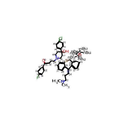 CCC[CH2][Sn]([CH2]CCC)([CH2]CCC)[O][Sn]([CH2]CCC)([CH2]CCC)[CH2]CCC.CN(C)CC/C=C1/c2ccccc2CSc2ccccc21.O=C(CCCN1CCC(O)(c2ccc(Cl)cc2)CC1)c1ccc(F)cc1